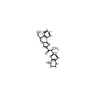 CC(C(=O)c1cn(CC(CC(=O)O)c2ccccc2)cn1)c1ccc2c(n1)NCCC2